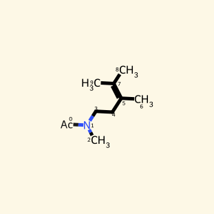 CC(=O)N(C)CCC(C)=C(C)C